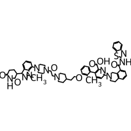 Cc1c(OCCC2CCN(CC(=O)N3CCN(c4cccc5c(C6CCC(=O)NC6=O)nn(C)c45)CC3)CC2)cccc1-c1ccc(N2CCc3cccc(C(=O)Nc4nc5ccccc5s4)c3C2)nc1C(=O)O